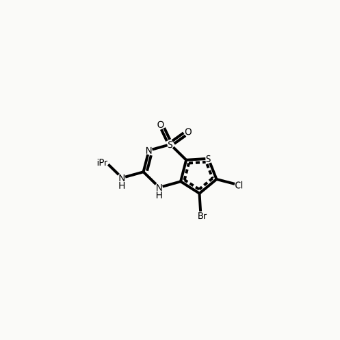 CC(C)NC1=NS(=O)(=O)c2sc(Cl)c(Br)c2N1